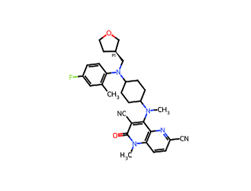 Cc1cc(F)ccc1N(C[C@H]1CCOC1)C1CCC(N(C)c2c(C#N)c(=O)n(C)c3ccc(C#N)nc23)CC1